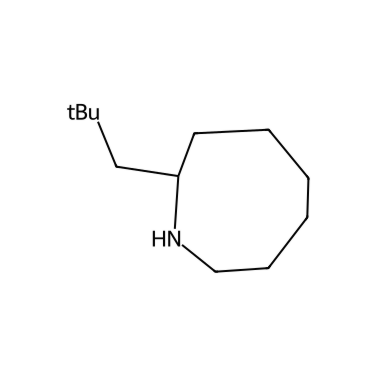 CC(C)(C)CC1CCCCCCN1